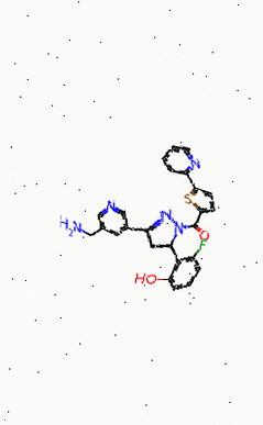 NCc1cncc(C2=NN(C(=O)c3ccc(-c4ccccn4)s3)C(c3c(O)cccc3F)C2)c1